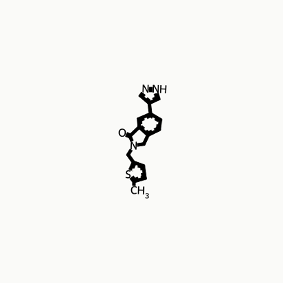 Cc1ccc(CN2Cc3ccc(-c4cn[nH]c4)cc3C2=O)s1